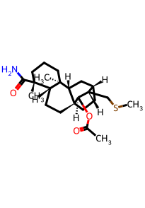 CSC[C@H]1[C@H]2CC[C@@]3(CC[C@H]4[C@@](C)(CCC[C@@]4(C)C(N)=O)[C@@H]3C2)[C@@H]1OC(C)=O